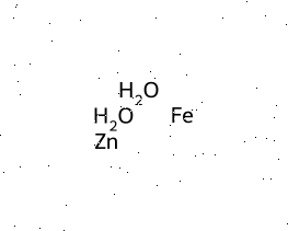 O.O.[Fe].[Zn]